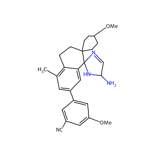 COc1cc(C#N)cc(-c2cc(C)c3c(c2)C2(N=CC(N)N2)C2(CC3)CCC(OC)CC2)c1